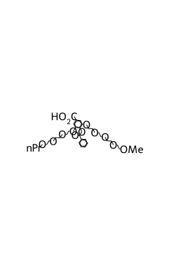 CCCOCCOCCOCCOc1cc(C(=O)O)cc(OCCOCCOCCOCCOC)c1OC(=O)c1ccccc1